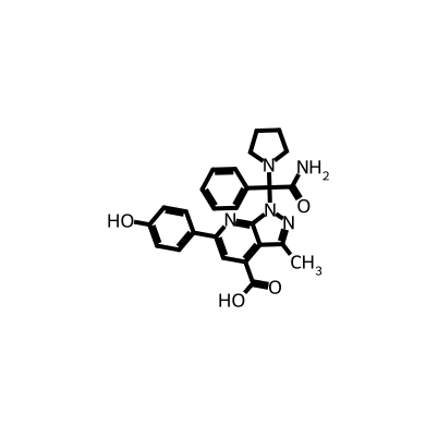 Cc1nn(C(C(N)=O)(c2ccccc2)N2CCCC2)c2nc(-c3ccc(O)cc3)cc(C(=O)O)c12